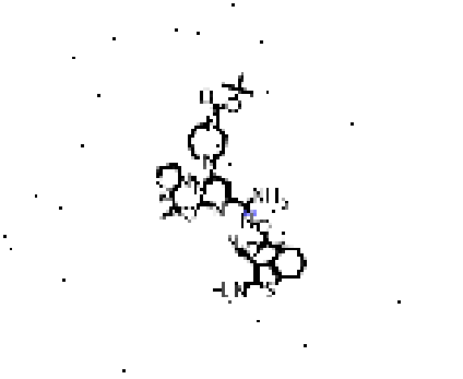 C[C@H](Oc1nc(/C(N)=N/OC(=O)[C@@]2(C)CCCc3sc(N)c(C#N)c32)cc(N2CCCN(C(=O)OC(C)(C)C)CC2)n1)[C@@H]1CCCN1C